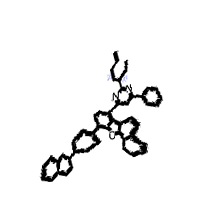 C=C/C=C\C(=C/C)c1nc(-c2ccccc2)cc(-c2ccc(-c3ccc(-c4ccc5ccccc5c4)cc3)c3oc4c5ccccc5ccc4c23)n1